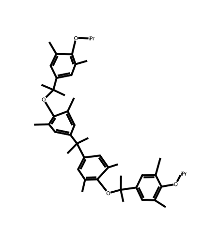 Cc1cc(C(C)(C)Oc2c(C)cc(C(C)(C)c3cc(C)c(OC(C)(C)c4cc(C)c(OC(C)C)c(C)c4)c(C)c3)cc2C)cc(C)c1OC(C)C